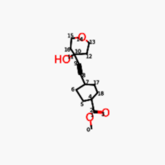 COC(=O)C1CCC(C#CC2(O)CCOCC2)CC1